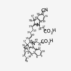 C=C/C=C\C1=C(C)c2ccccc2C2[C@@H]1C(C)(C)C(/C=C/CC/C=C1\N(CCC(=O)O)c3ccc(C#N)cc3C1(C)C)=[N+]2CCC(=O)O